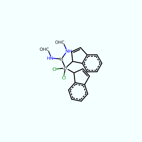 O=C[NH][In]([NH]C=O)[Zr]([Cl])([Cl])([CH]1C=Cc2ccccc21)[CH]1C=Cc2ccccc21